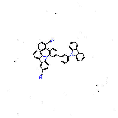 N#Cc1ccc2c(c1)c1ccccc1n2-c1cc(-c2cccc(-n3c4ccccc4c4ccccc43)c2)ccc1-c1ccccc1C#N